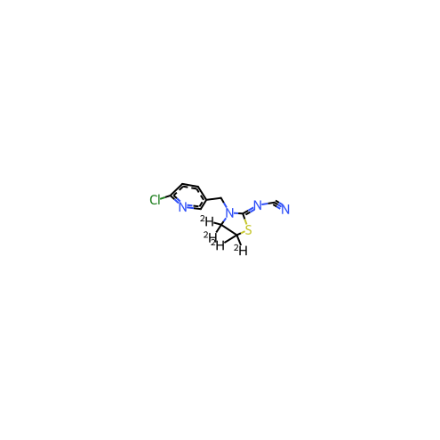 [2H]C1([2H])SC(=NC#N)N(Cc2ccc(Cl)nc2)C1([2H])[2H]